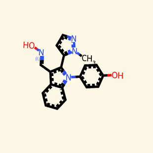 Cn1nccc1-c1c(/C=N/O)c2ccccc2n1-c1ccc(O)cc1